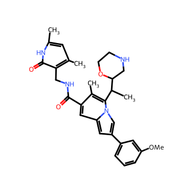 COc1cccc(-c2cc3cc(C(=O)NCc4c(C)cc(C)[nH]c4=O)c(C)c(C(C)C4CNCCO4)n3c2)c1